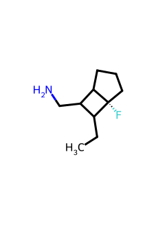 CCC1C(CN)C2CCC[C@@]12F